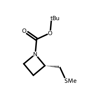 CSC[C@@H]1CCN1C(=O)OC(C)(C)C